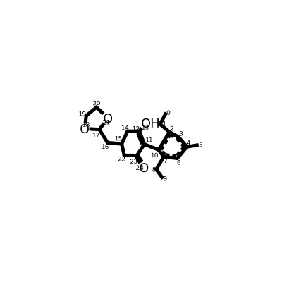 CCc1cc(C)cc(CC)c1C1=C(O)CC(CC2OCCO2)CC1=O